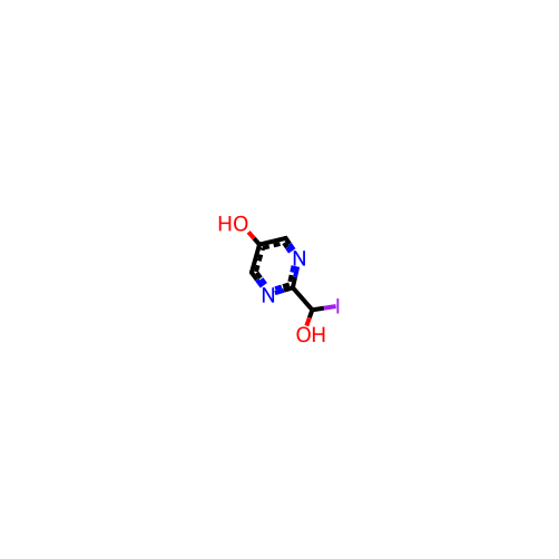 Oc1cnc(C(O)I)nc1